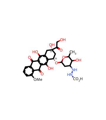 COc1cccc2c1C(=O)c1c(O)c3c(c(O)c1C2=O)C[C@@](O)(C(=O)CO)C[C@@H]3OC1CC(NNC(=O)O)C(O)C(C)O1